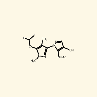 CC(=O)Nc1c(C#N)cnn1-c1nn(C)c(OC(F)F)c1C